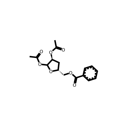 CC(=O)OC1O[C@@H](COC(=O)c2ccccc2)C[C@@H]1OC(C)=O